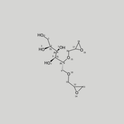 OC[C@H](O)[C@@H](O)[C@H](O)[C@@H](COCC1CO1)OCC1CO1